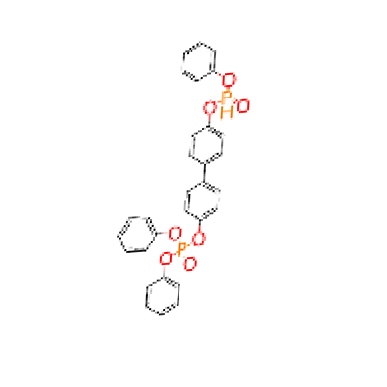 O=[PH](Oc1ccccc1)Oc1ccc(-c2ccc(OP(=O)(Oc3ccccc3)Oc3ccccc3)cc2)cc1